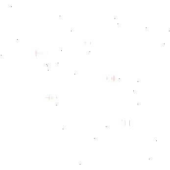 CCC(O)=C(O)C(=O)O